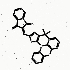 CC1(C)c2cc(C=C3C(=O)c4ccccc4C3=O)sc2N2c3ccccc3Sc3cccc1c32